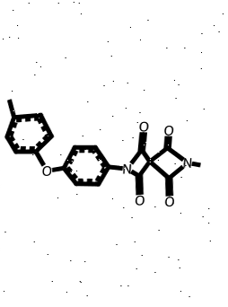 Cc1ccc(Oc2ccc(N3C(=O)C4(C(=O)N(C)C4=O)C3=O)cc2)cc1